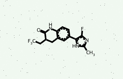 Cc1nc(F)c(-c2ccc3c(c2)CC(CC(F)(F)F)C(=O)N3)[nH]1